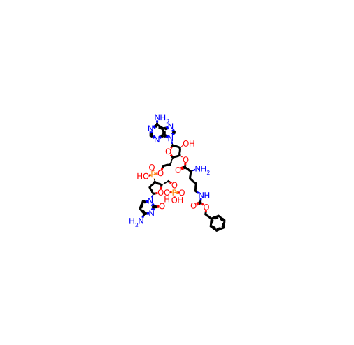 Nc1ccn([C@H]2C[C@H](P(=O)(O)OCC[C@H]3O[C@@H](n4cnc5c(N)ncnc54)[C@H](O)[C@@H]3OC(=O)[C@@H](N)CCCNC(=O)OCc3ccccc3)[C@@H](COP(=O)(O)O)O2)c(=O)n1